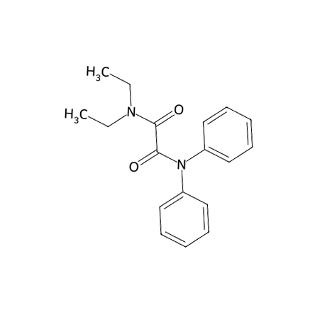 CCN(CC)C(=O)C(=O)N(c1ccccc1)c1ccccc1